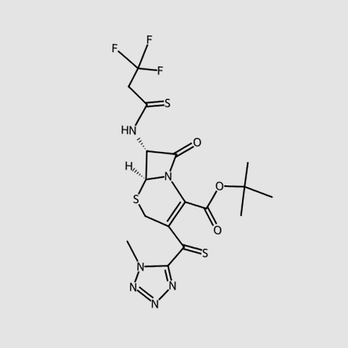 Cn1nnnc1C(=S)C1=C(C(=O)OC(C)(C)C)N2C(=O)[C@@H](NC(=S)CC(F)(F)F)[C@@H]2SC1